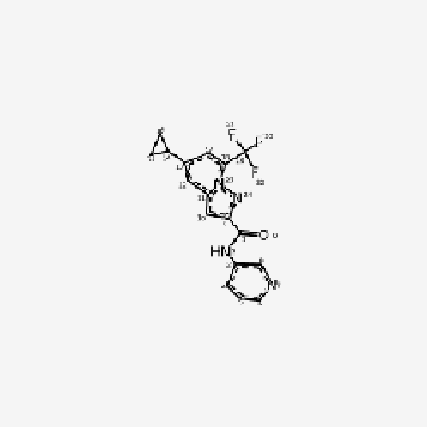 O=C(Nc1cccnc1)c1cc2cc(C3CC3)cc(C(F)(F)F)n2n1